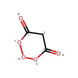 O=C1CC(=O)OOO1